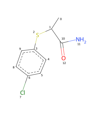 CC(Sc1ccc(Cl)cc1)C(N)=O